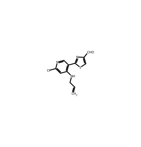 C=CCNc1cc(Cl)ncc1-c1nc(C=O)cs1